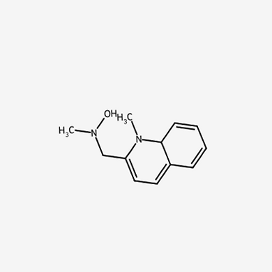 CN(O)CC1=CC=C2C=CC=CC2N1C